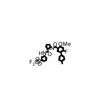 COc1cc(F)c(-c2ccc(C)cc2)cc1C(=O)N[C@@H]1CCC[C@@H]1C(=O)Nc1cccc(S(=O)(=O)C(F)(F)F)c1